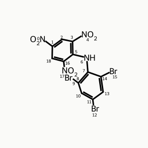 O=[N+]([O-])c1cc([N+](=O)[O-])c(Nc2c(Br)cc(Br)cc2Br)c([N+](=O)[O-])c1